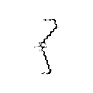 CCCCC/C=C\C/C=C\CCCCCCCC(=O)NC(CCC)C(=O)NCCCCCCCC/C=C\CCCCCCCC